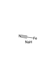 N#[C][Fe].[NaH]